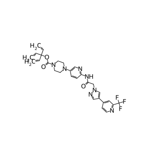 C=CC(C=C)(C=C)OC(=O)N1CCN(c2ccc(NC(=O)Cn3cc(-c4ccnc(C(F)(F)F)c4)cn3)nc2)CC1